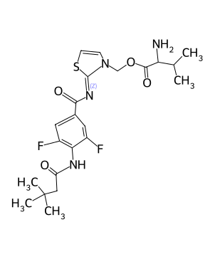 CC(C)C(N)C(=O)OCn1ccs/c1=N\C(=O)c1cc(F)c(NC(=O)CC(C)(C)C)c(F)c1